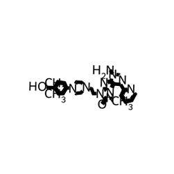 Cn1c(=O)n(CCN2CCN(c3ccc(C(C)(C)O)cc3)CC2)c2nc3c(n21)C(c1ccccn1)=NCN3N